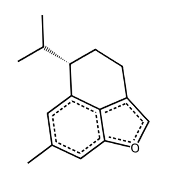 Cc1cc2c3c(coc3c1)CC[C@H]2C(C)C